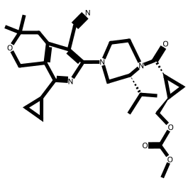 COC(=O)OC[C@@H]1C[C@H]1C(=O)N1CCN(c2nc(C3CC3)c3c(c2C#N)CC(C)(C)OC3)C[C@H]1C(C)C